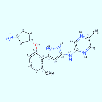 COc1cccc(O[C@H]2CC[C@@H](N)C2)c1-c1cc(Nc2cnc(C#N)cn2)n[nH]1